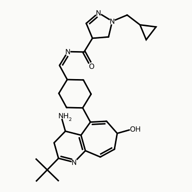 CC(C)(C)C1=NC2=C(C(C3CCC(/C=N\C(=O)C4C=NN(CC5CC5)C4)CC3)=CC(O)C=C2)C(N)C1